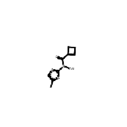 CCCCN(C(=O)C1CCC1)c1nc(C)co1